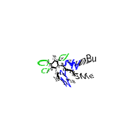 CCCCn1nc(-c2cc(Cl)c(Cl)cc2Cl)c(-n2ccnc2)c1SC